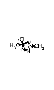 CN1CC(C)(C)N=N1